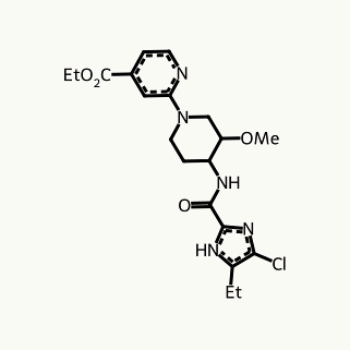 CCOC(=O)c1ccnc(N2CCC(NC(=O)c3nc(Cl)c(CC)[nH]3)C(OC)C2)c1